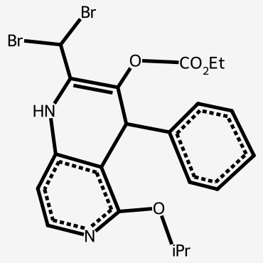 CCOC(=O)OC1=C(C(Br)Br)Nc2ccnc(OC(C)C)c2C1c1ccccc1